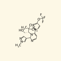 Cn1cc(C2N=CC=C(c3ccc(OC(F)(F)F)cc3)N2[C@H](CO)C(C)(C)C)cn1